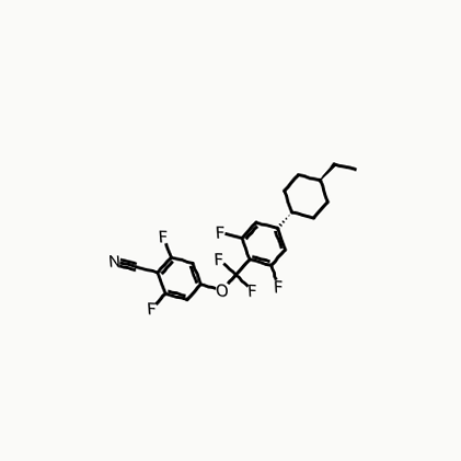 CC[C@H]1CC[C@H](c2cc(F)c(C(F)(F)Oc3cc(F)c(C#N)c(F)c3)c(F)c2)CC1